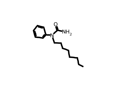 CCCCCCCCN(C(N)=O)c1ccccc1